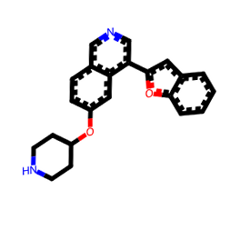 c1ccc2oc(-c3cncc4ccc(OC5CCNCC5)cc34)cc2c1